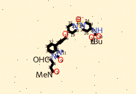 CNC(=O)CCC(C=O)n1c(=O)n(C)c2c(C#CCOC3CCN([S+]([O-])N4CCC(NC(=O)OC(C)(C)C)CC4)CC3)cccc21